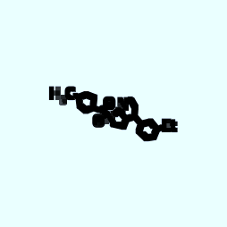 CCc1cccc(-c2ccnc3c2ccn3S(=O)(=O)c2ccc(C)cc2)c1